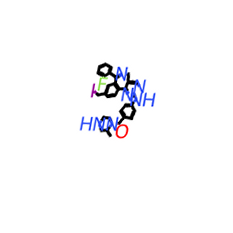 CC1CNCCN1C(=O)c1ccc(Nc2ncc3c(n2)-c2ccc(CI)cc2C(c2ccccc2F)=NC3)cc1